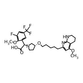 COc1cc(CCCCCO[C@@H]2CCN([C@@H](C(=O)O)c3cc(C(F)(F)F)cc(F)c3OC)C2)nc2c1CCCN2